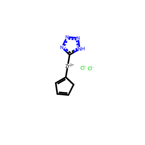 C1=CC[C]([Zr+2][c]2nnn[nH]2)=C1.[Cl-].[Cl-]